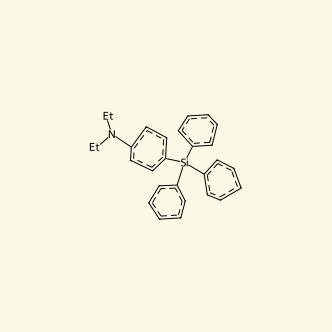 CCN(CC)c1ccc([Si](c2ccccc2)(c2ccccc2)c2ccccc2)cc1